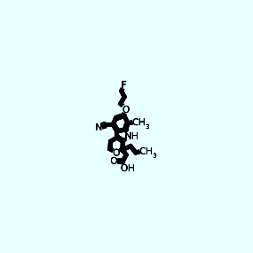 CCCC1(CC(=O)O)OCCc2c1[nH]c1c(C)c(OCCCF)cc(C#N)c21